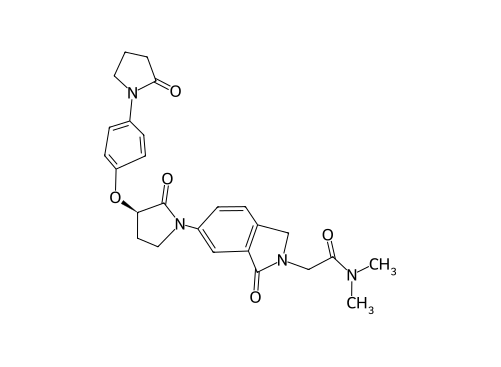 CN(C)C(=O)CN1Cc2ccc(N3CC[C@@H](Oc4ccc(N5CCCC5=O)cc4)C3=O)cc2C1=O